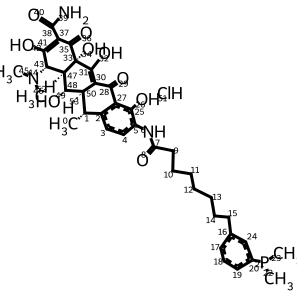 C[C@H]1c2ccc(NC(=O)CCCCCCCc3cccc(P(C)C)c3)c(O)c2C(=O)C2=C(O)[C@]3(O)C(=O)C(C(N)=O)=C(O)[C@@H](N(C)C)[C@@H]3[C@@H](O)[C@@H]21.Cl